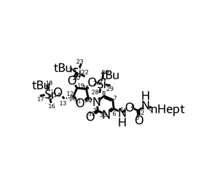 CCCCCCCNC(=O)ONc1ccn([C@@H]2O[C@H](CO[Si](C)(C)C(C)(C)C)C(O[Si](C)(C)C(C)(C)C)C2O[Si](C)(C)C(C)(C)C)c(=O)n1